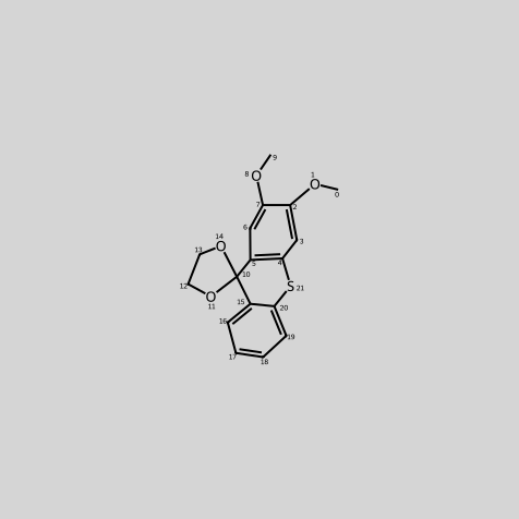 COc1cc2c(cc1OC)C1(OCCO1)c1ccccc1S2